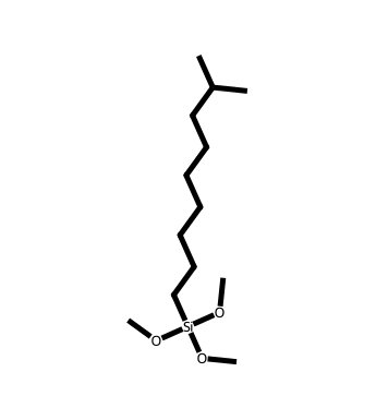 CO[Si](CCCCCCCC(C)C)(OC)OC